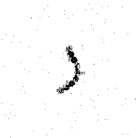 Cn1nnc(-c2ccc(-c3ccc(N4C=C(COP(=O)(O)OCC5=CN(c6ccc(-c7ccc(-c8nnn(C)n8)nc7)c(F)c6)CO5)OC4)cc3F)cn2)n1